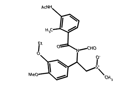 CCOc1cc(C(C[S+](C)[O-])N(C=O)C(=O)c2cccc(NC(C)=O)c2C)ccc1OC